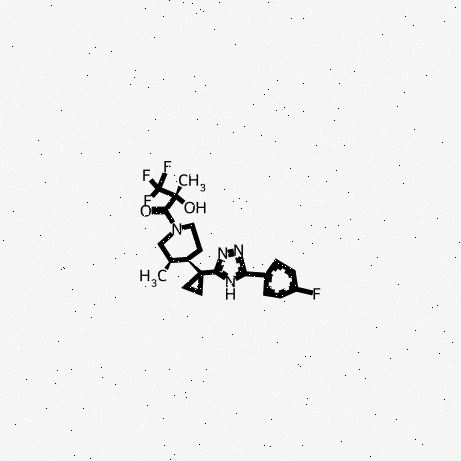 C[C@H]1CN(C(=O)[C@@](C)(O)C(F)(F)F)CC[C@H]1C1(c2nnc(-c3ccc(F)cc3)[nH]2)CC1